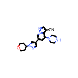 N#Cc1cnn2cc(-c3cnn(C4CCOCC4)c3)cc(N3CCNCC3)c12